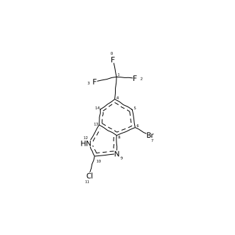 FC(F)(F)c1cc(Br)c2nc(Cl)[nH]c2c1